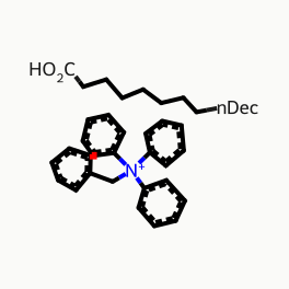 CCCCCCCCCCCCCCCCCC(=O)O.c1ccc(C[N+](c2ccccc2)(c2ccccc2)c2ccccc2)cc1